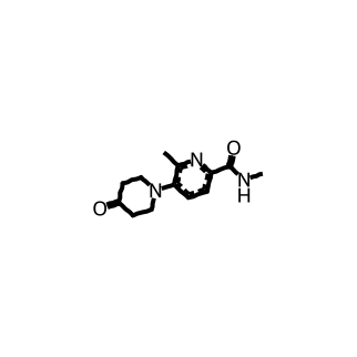 CNC(=O)c1ccc(N2CCC(=O)CC2)c(C)n1